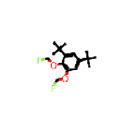 CC(C)(C)c1cc(OCF)c(OCF)c(C(C)(C)C)c1